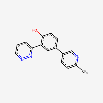 Oc1ccc(-c2ccc(C(F)(F)F)nc2)cc1-c1cccnn1